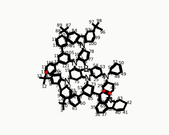 CC(C)(C)C1=CC2c3cc(C(C)(C)C)ccc3N(C3CC4=C5B(C6=C(CC(N(C7=CC=C(N8c9ccccc9C9C=CCCC98)CC7)c7ccccc7)C=C6)N(c6cc(-c7ccccc7)cc(-c7ccccc7)c6)C5C3)c3ccc(-n5c6c(c7cc(C(C)(C)C)ccc75)CC(C(C)(C)C)C=C6)cc3N4c3cc(C4=CCCC=C4)cc(-c4ccccc4)c3)C2C=C1